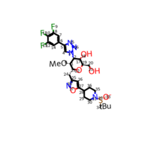 CO[C@@H]1[C@@H](n2cc(-c3cc(F)c(F)c(F)c3)nn2)[C@@H](O)[C@@H](CO)O[C@@H]1Cc1cc(C2CCN([S@@+]([O-])C(C)(C)C)CC2)on1